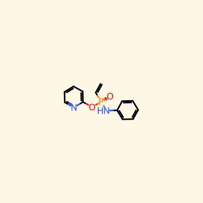 C=CP(=O)(Nc1ccccc1)Oc1ccccn1